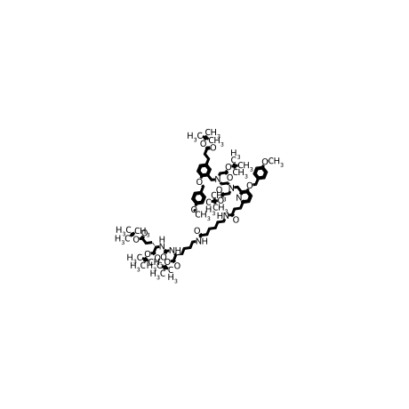 COc1ccc(COc2ccc(CCC(=O)OC(C)(C)C)cc2CN(CCN(CC(=O)OC(C)(C)C)Cc2nc(CCC(=O)NCCCCCC(=O)NCCCC[C@H](NC(=O)N[C@@H](CCC(=O)OC(C)(C)C)C(=O)OC(C)(C)C)C(=O)OC(C)(C)C)ccc2OCc2ccc(OC)cc2)CC(=O)OC(C)(C)C)cc1